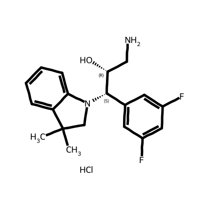 CC1(C)CN([C@@H](c2cc(F)cc(F)c2)[C@H](O)CN)c2ccccc21.Cl